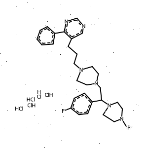 CC(C)N1CCN(C(CN2CCN(CCCc3cncnc3-c3ccccc3)CC2)c2ccc(F)cc2)CC1.Cl.Cl.Cl.Cl.Cl